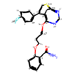 NC(=O)c1ccccc1OCCCOc1ncnc2scc(-c3ccc(F)cc3)c12